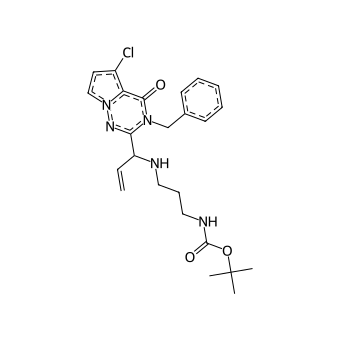 C=CC(NCCCNC(=O)OC(C)(C)C)c1nn2ccc(Cl)c2c(=O)n1Cc1ccccc1